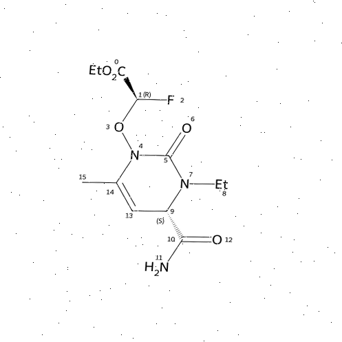 CCOC(=O)[C@@H](F)ON1C(=O)N(CC)[C@H](C(N)=O)C=C1C